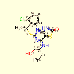 CC(C)C[C@H](CO)Nc1nc(SC(C)c2ccccc2Cl)nc2[nH]c(=O)sc12